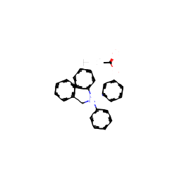 CC(=O)[O-].c1ccc(C[N+](c2ccccc2)(c2ccccc2)c2ccccc2)cc1